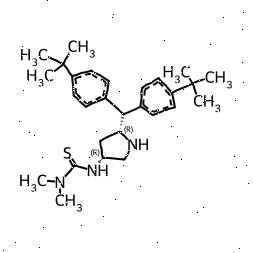 CN(C)C(=S)N[C@H]1CN[C@@H](C(c2ccc(C(C)(C)C)cc2)c2ccc(C(C)(C)C)cc2)C1